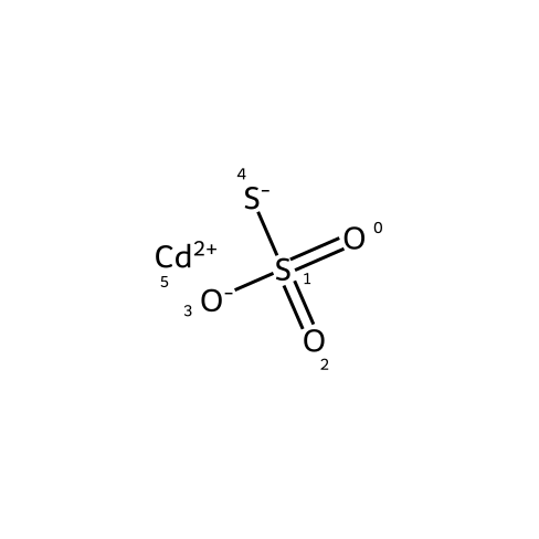 O=S(=O)([O-])[S-].[Cd+2]